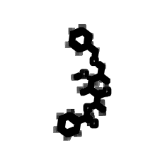 CO[C@H](C(C)COCc1ccccc1)C(C)C(=O)C(C)OC(=O)c1ccccc1